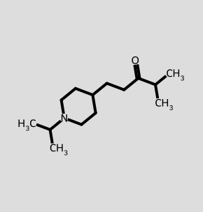 CC(C)C(=O)CCC1CCN(C(C)C)CC1